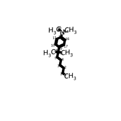 CCCCCCC(C)(C)c1ccc(N(C)C)cc1